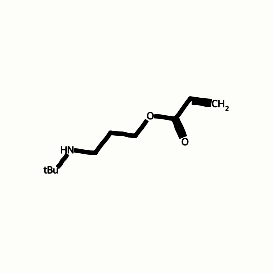 C=CC(=O)OCCCNC(C)(C)C